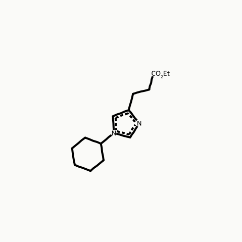 CCOC(=O)CCc1cn(C2CCCCC2)cn1